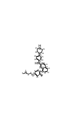 CN(C)CCOc1ccc(-c2cccc3cnc(Nc4ccc(N5CCNCC5)cc4)nc23)c(F)c1